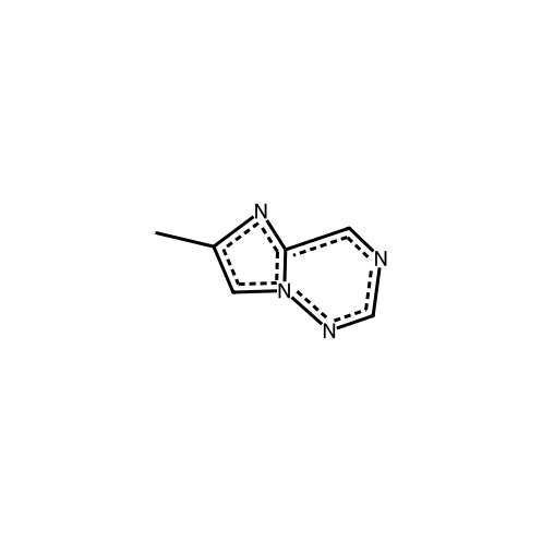 Cc1cn2ncncc2n1